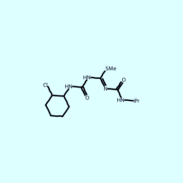 CSC(=NC(=O)NC(C)C)NC(=O)NC1CCCCC1Cl